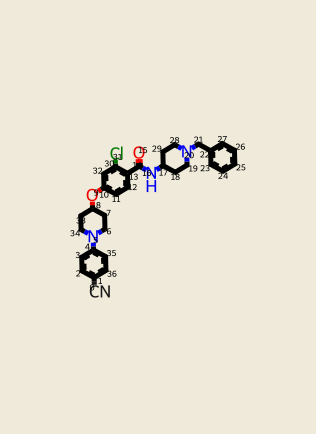 N#Cc1ccc(N2CCC(Oc3ccc(C(=O)NC4CCN(Cc5ccccc5)CC4)c(Cl)c3)CC2)cc1